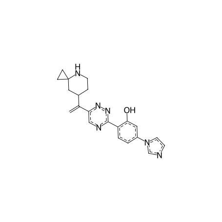 C=C(c1cnc(-c2ccc(-n3ccnc3)cc2O)nn1)C1CCNC2(CC2)C1